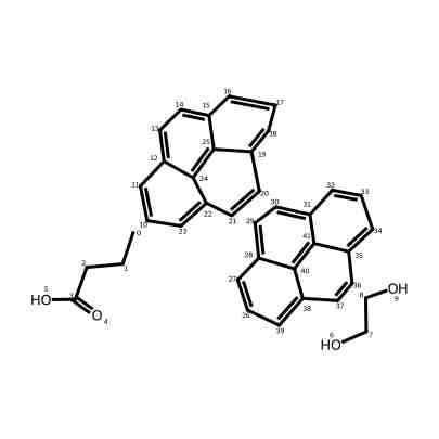 CCCC(=O)O.OCCO.c1cc2ccc3cccc4ccc(c1)c2c34.c1cc2ccc3cccc4ccc(c1)c2c34